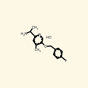 Cc1cc(C(C)N)ncc1OCc1ccc(F)cc1.Cl